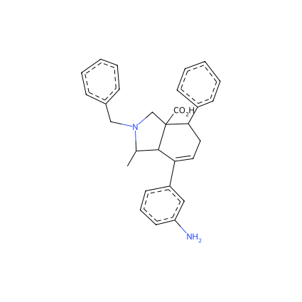 CC1C2C(c3cccc(N)c3)=CCC(c3ccccc3)C2(C(=O)O)CN1Cc1ccccc1